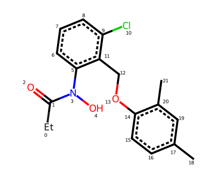 CCC(=O)N(O)c1cccc(Cl)c1COc1ccc(C)cc1C